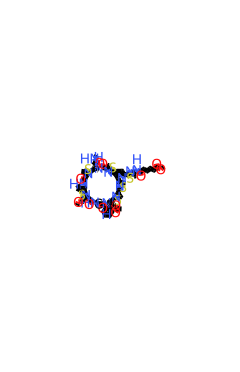 CNC(=O)C[C@@H]1NC(=O)c2csc(n2)-c2ccc(-c3nc(NC(=O)CCCCC(=O)OC)cs3)nc2-c2csc(n2)-c2csc(n2)[C@H]([C@@H](OC(C)=O)c2ccccc2)NC(=O)CNC(=O)c2nc(sc2COC)[C@@H](C(C)C)NC(=O)c2nc1sc2C